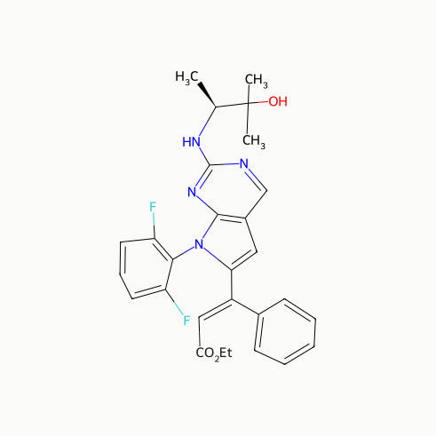 CCOC(=O)C=C(c1ccccc1)c1cc2cnc(N[C@@H](C)C(C)(C)O)nc2n1-c1c(F)cccc1F